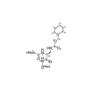 CCCCCCCCCC(=O)N[C@@H](CNC(=O)OCc1ccccc1)C(=O)NCCCCCC